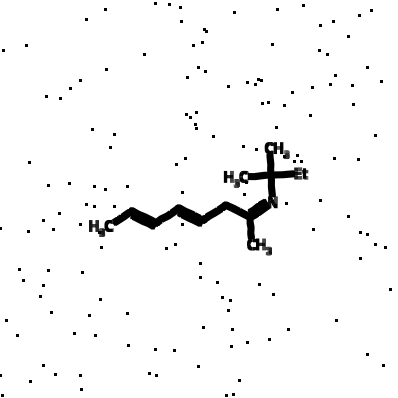 C/C=C/C=C/C/C(C)=N\C(C)(C)CC